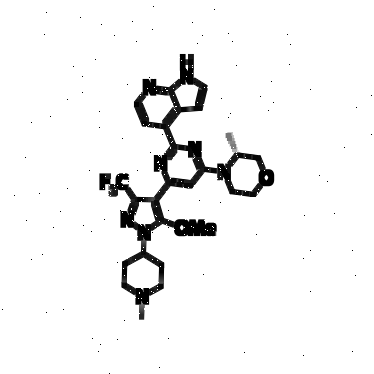 COc1c(-c2cc(N3CCOC[C@H]3C)nc(-c3ccnc4[nH]ccc34)n2)c(C(F)(F)F)nn1C1CCN(C)CC1